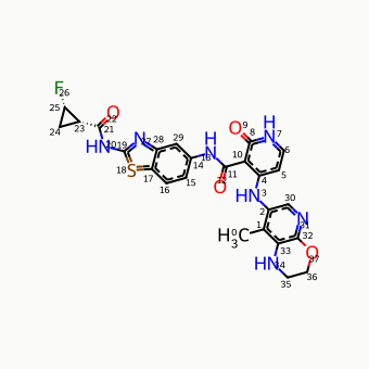 Cc1c(Nc2cc[nH]c(=O)c2C(=O)Nc2ccc3sc(NC(=O)[C@@H]4C[C@@H]4F)nc3c2)cnc2c1NCCO2